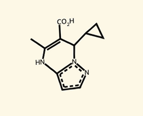 CC1=C(C(=O)O)C(C2CC2)n2nccc2N1